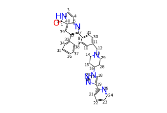 O=c1[nH]ccc2nc(-c3ccc(CN4CCC(n5cc(-c6ccccn6)nn5)CC4)cc3)c(-c3ccccc3)cc12